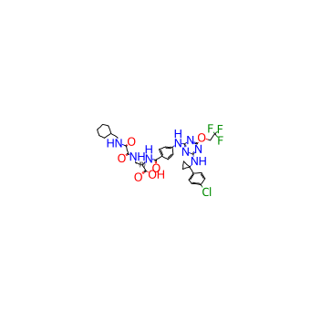 O=C(NCC1CCCCC1)C(=O)NC[C@@H](NC(=O)c1ccc(Nc2nc(NC3(c4ccc(Cl)cc4)CC3)nc(OCC(F)(F)F)n2)cc1)C(=O)O